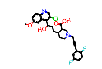 COc1ccc2ncc(Cl)c(C(O)CCC3CCN(CC#Cc4cc(F)ccc4F)CC3C(=O)O)c2c1